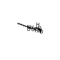 CCCCCCCCCCCCNC(=O)CCCOc1ccc(NCC(=O)N(CC)NC(C)=O)cc1